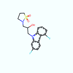 O=S1(=O)CCCN1CC(O)Cn1c2cc(F)ccc2c2c(F)cccc21